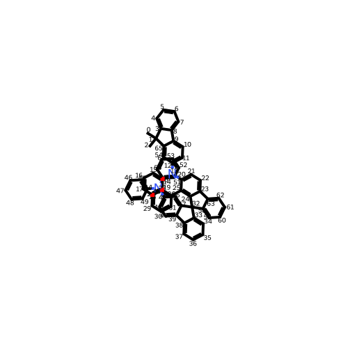 CC1(C)c2ccccc2-c2ccc(N(c3ccccc3)c3ccc4c(c3-c3ccccc3)C3(c5ccccc5-c5ccc(N(c6ccccc6)c6ccccc6)cc53)c3ccccc3-4)cc21